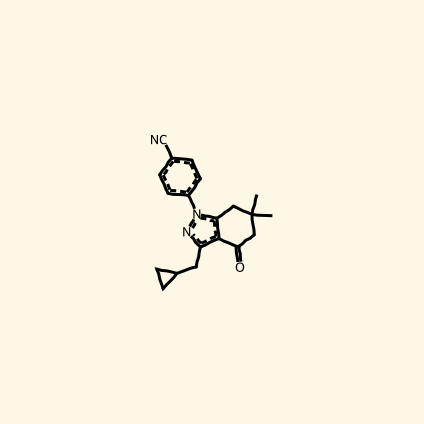 CC1(C)CC(=O)c2c(CC3CC3)nn(-c3ccc(C#N)cc3)c2C1